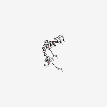 CCCCCCCCCCCCOc1c(C)c(-c2ccc(-c3ccc(-c4cc(F)c(-c5ccc(-c6ccc(-c7c(OCCCCCCCCCCCC)c(C)c(-c8ccc(-c9cc%10c(-c%11ccc(CC(CC)CCCC)s%11)c%11sc(C)cc%11c(-c%11ccc(CC(CC)CCCC)s%11)c%10s9)s8)c8nsnc78)s6)s5)cc4F)s3)s2)c2nsnc2c1-c1ccc(C)s1